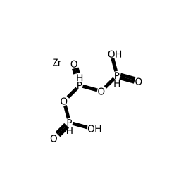 O=[PH](O)O[PH](=O)O[PH](=O)O.[Zr]